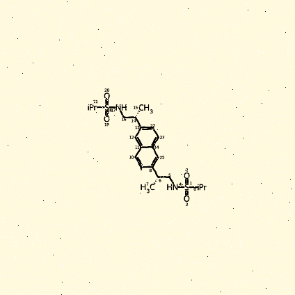 CC(C)S(=O)(=O)NC[C@H](C)c1ccc2cc([C@@H](C)CNS(=O)(=O)C(C)C)ccc2c1